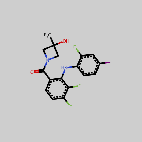 O=C(c1ccc(F)c(F)c1Nc1ccc(I)cc1F)N1CC(O)(C(F)(F)F)C1